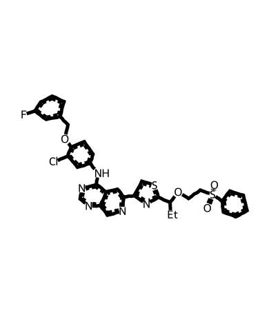 CCC(OCCS(=O)(=O)c1ccccc1)c1nc(-c2cc3c(Nc4ccc(OCc5cccc(F)c5)c(Cl)c4)ncnc3cn2)cs1